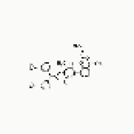 CCCC(=O)Oc1c(OC)ccnc1C(=O)N[C@@H](C)C(=O)NC(C)=C(c1cccc(C2CC2)c1)c1cccc(C2CC2)c1